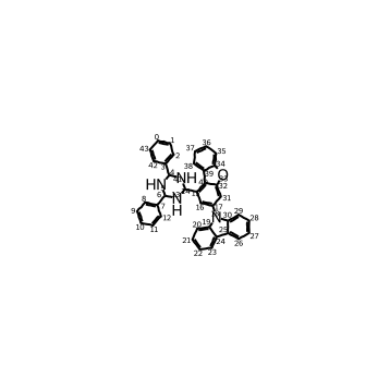 c1ccc(C2NC(c3ccccc3)NC(c3cc(-n4c5ccccc5c5ccccc54)cc4oc5ccccc5c34)N2)cc1